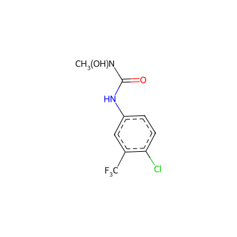 CN(O)C(=O)Nc1ccc(Cl)c(C(F)(F)F)c1